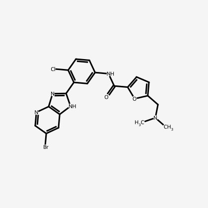 CN(C)Cc1ccc(C(=O)Nc2ccc(Cl)c(-c3nc4ncc(Br)cc4[nH]3)c2)o1